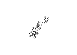 O=C(NCCCc1ccccc1)Nc1ccc2c(c1)NC(=O)C21CCCC1